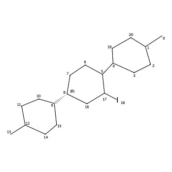 CC1CCC(C2CC[C@@H](C3CCC(C)CC3)CC2I)CC1